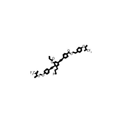 C=CC(=O)Oc1cc(C#Cc2ccc(C(=O)O/C=C/c3ccc(OC(=C)C(=C)C(F)(F)F)cc3)cc2)cc(CCCF)c1C#Cc1ccc(OCOC(=C)C(=C)C(F)(F)F)cc1